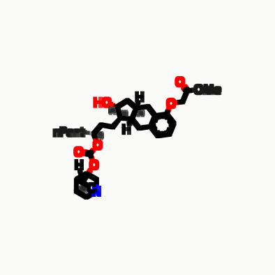 CCCCC[C@H](CC[C@@H]1[C@H]2Cc3cccc(OCC(=O)OC)c3C[C@H]2C[C@H]1O)OC(=O)O[C@@H]1CN2CCC1CC2